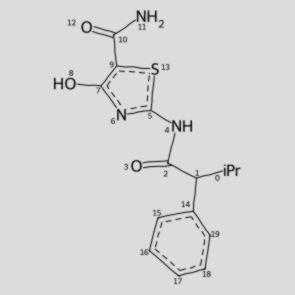 CC(C)C(C(=O)Nc1nc(O)c(C(N)=O)s1)c1ccccc1